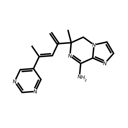 C=C(/C=C(\C)c1cncnc1)C1(C)Cn2ccnc2C(N)=N1